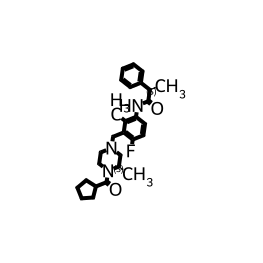 Cc1c(NC(=O)[C@@H](C)c2ccccc2)ccc(F)c1CN1CCN(C(=O)C2CCCC2)[C@@H](C)C1